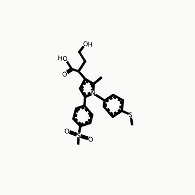 CSc1ccc(-n2c(-c3ccc(S(C)(=O)=O)cc3)cc(C(CCO)C(=O)O)c2C)cc1